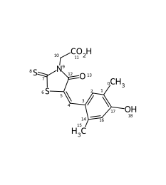 Cc1cc(C=C2SC(=S)N(CC(=O)O)C2=O)c(C)cc1O